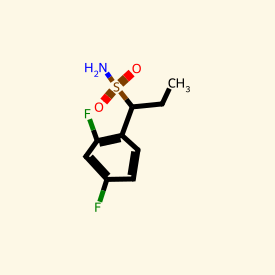 CCC(c1ccc(F)cc1F)S(N)(=O)=O